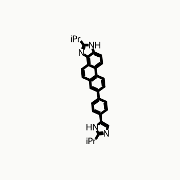 CC(C)c1ncc(-c2ccc(-c3ccc4c(ccc5c4ccc4[nH]c(C(C)C)nc45)c3)cc2)[nH]1